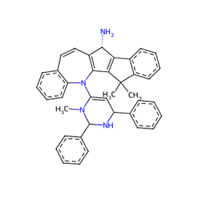 CN1C(N2C3=C(C=Cc4ccccc42)[C@H](N)C2=C3C(C)(C)c3ccccc32)=CC(c2ccccc2)NC1c1ccccc1